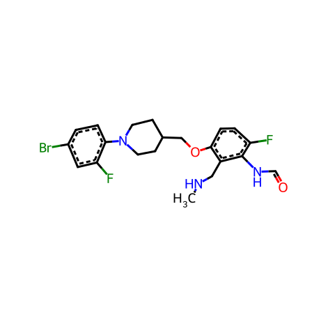 CNCc1c(OCC2CCN(c3ccc(Br)cc3F)CC2)ccc(F)c1NC=O